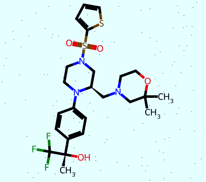 CC1(C)CN(C[C@@H]2CN(S(=O)(=O)c3cccs3)CCN2c2ccc([C@](C)(O)C(F)(F)F)cc2)CCO1